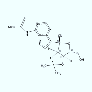 COC(=O)Nc1ncnn2c([C@]3(C#N)O[C@H](CO)[C@H]4OC(C)(C)O[C@H]43)ccc12